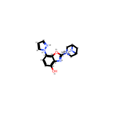 O=C(O)N1C2CC1CN(c1nc3c(O)ccc(-n4cccn4)c3o1)C2